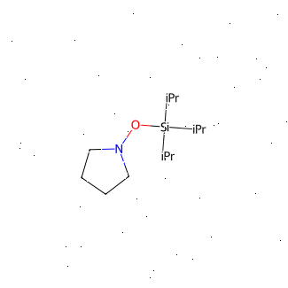 CC(C)[Si](ON1CCCC1)(C(C)C)C(C)C